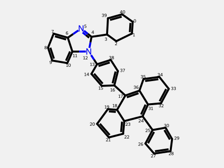 C1=CCC(c2nc3ccccc3n2-c2ccc(-c3c4ccccc4c(-c4ccccc4)c4ccccc34)cc2)C=C1